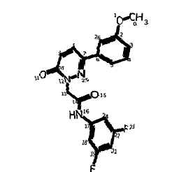 COc1cccc(-c2ccc(=O)n(CC(=O)Nc3cc(F)cc(F)c3)n2)c1